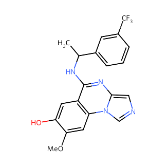 COc1cc2c(cc1O)c(NC(C)c1cccc(C(F)(F)F)c1)nc1cncn12